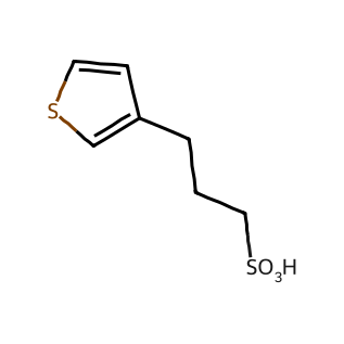 O=S(=O)(O)CCCc1ccsc1